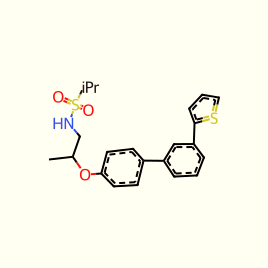 CC(CNS(=O)(=O)C(C)C)Oc1ccc(-c2cccc(-c3cccs3)c2)cc1